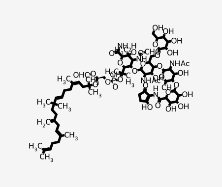 C=C(C/C=C(\C)CCC=C(C)C)CCC(C)(C)/C=C/CC/C(C)=C\CC(C)(C)O[C@H](COP(=O)(O)OC(C)(C)C1OC(C(N)=O)C(C)(O)C(NOC=O)C1OC1OC(COC2OC(CO)C(O)C(O)C2O)C(OC2OC(C)C(OC3OC(C(=O)NC4=C(O)CCC4=O)C(O)C(O)C3O)C(O)C2NC(C)=O)C(O)C1NC(C)=O)OC=O